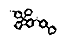 CCc1ccc(C2(c3ccccc3)c3ccccc3-c3ccc(Nc4ccc(-c5ccccc5)cc4)cc32)cc1